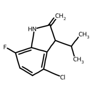 C=C1Nc2c(F)ccc(Cl)c2C1C(C)C